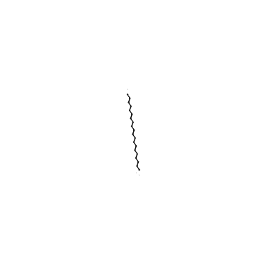 NCCCCCCCCCCCCCCCCCCCCN